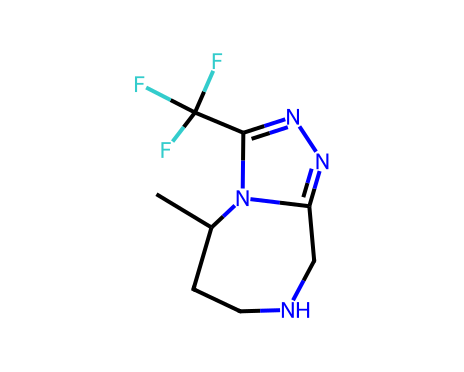 CC1CCNCc2nnc(C(F)(F)F)n21